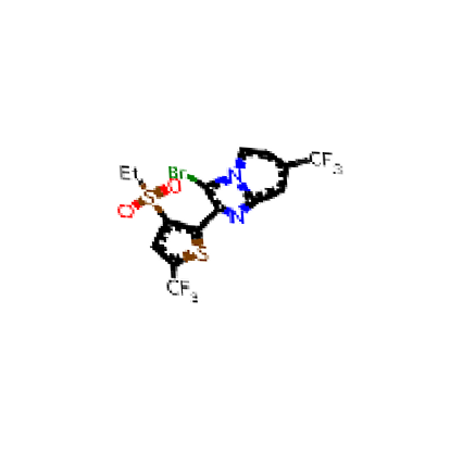 CCS(=O)(=O)c1cc(C(F)(F)F)sc1-c1nc2cc(C(F)(F)F)ccn2c1Br